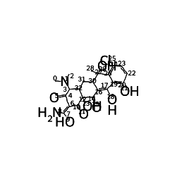 CN(C)C1C(=O)C(=C(N)O)C(=O)C2(O)C(=O)C3=C(O)c4c(O)ccc(Cl)c4C(C)(O)C3CC12